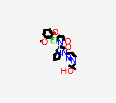 COc1cccc(OC2=CC(=O)N([C@@H](CC3CCCC3)C(=O)Nc3ccn(CC(C)(C)O)n3)C2)c1Cl